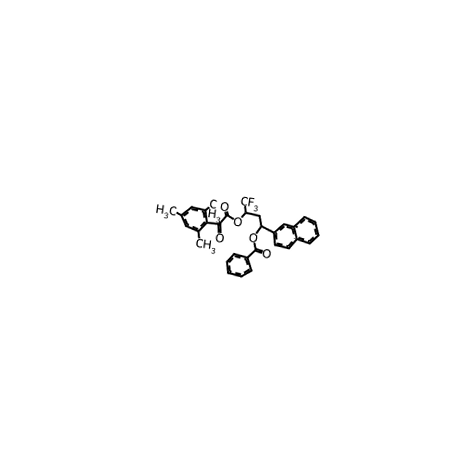 Cc1cc(C)c(C(=O)C(=O)OC(CC(OC(=O)c2ccccc2)c2ccc3ccccc3c2)C(F)(F)F)c(C)c1